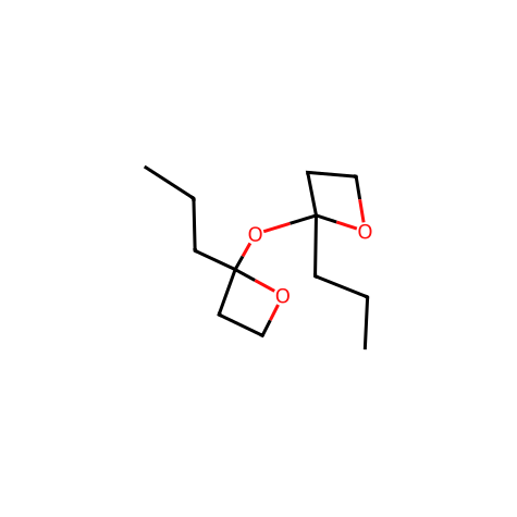 CCCC1(OC2(CCC)CCO2)CCO1